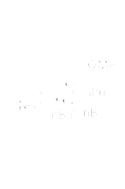 CCCCC(CCCC)[Si](C)(CCCC)OC(=COCCOC)Sc1ccccn1